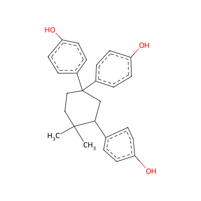 CC1(C)CCC(c2ccc(O)cc2)(c2ccc(O)cc2)CC1c1ccc(O)cc1